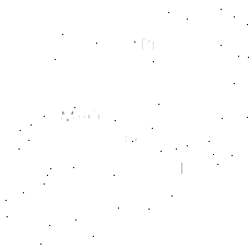 COc1cc(CBr)ccc1OCc1ccccc1F